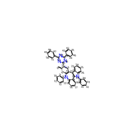 C=C/C(=C\C1=C(C)N(c2ccccc2)c2ccccc2-c2c1c1ccccc1n2-c1ccccc1)c1nc(-c2ccccc2)nc(-c2ccccc2)n1